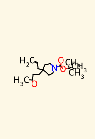 C=CCC1(CCC(C)=O)CCN(C(=O)OC(C)(C)C)CC1